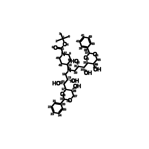 CC(C)(C)OC(=O)N1CCC(N(C[C@H](O)[C@@H](O)[C@@H]2OC(c3ccccc3)OC[C@H]2O)C[C@H](O)[C@@H](O)[C@@H]2OC(c3ccccc3)OC[C@H]2O)CC1